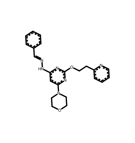 C(=NNc1cc(N2CCOCC2)nc(OCCc2ccccn2)n1)c1ccccc1